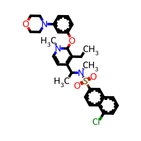 CCC1=C(C(C)N(C)S(=O)(=O)c2ccc3c(Cl)cccc3c2)C=CN(C)C1Oc1cccc(N2CCOCC2)c1